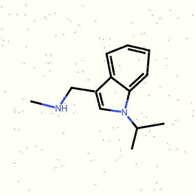 CNCc1cn(C(C)C)c2ccccc12